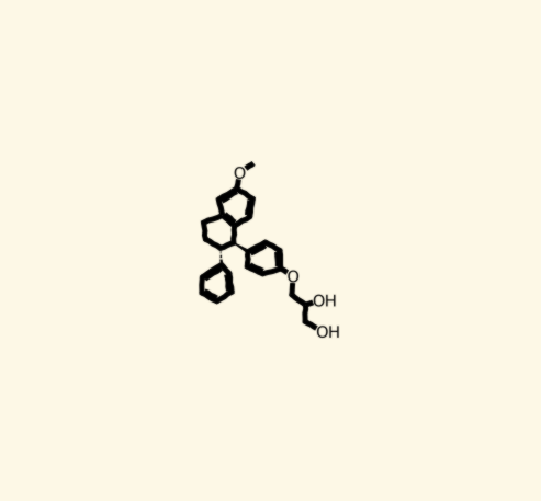 COc1ccc2c(c1)CC[C@@H](c1ccccc1)[C@@H]2c1ccc(OCC(O)CO)cc1